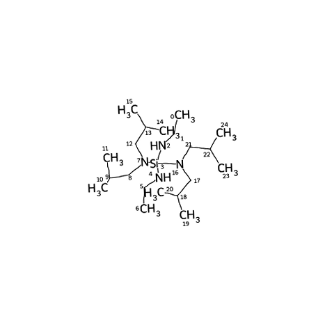 CCN[Si](NCC)(N(CC(C)C)CC(C)C)N(CC(C)C)CC(C)C